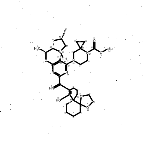 C[C@H](Oc1nc(C(=N)C2=C(O)[C@]3(CCCCC34OCCO4)CCC2)nc(N2CCN(C(=O)OC(C)(C)C)C3(CC3)C2)c1F)[C@@H]1C[C@@H](F)CN1C